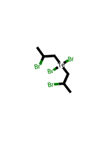 CC(Br)C[Te](Br)(Br)CC(C)Br